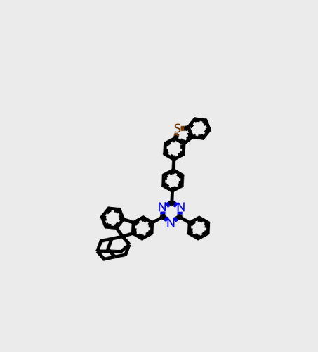 c1ccc(-c2nc(-c3ccc(-c4ccc5sc6ccccc6c5c4)cc3)nc(-c3ccc4c(c3)-c3ccccc3C43C4CC5CC(C4)CC3C5)n2)cc1